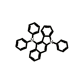 c1ccc(N(c2ccccc2)c2c3ccccc3cc3c2c2ccccc2n3-c2ccccc2)cc1